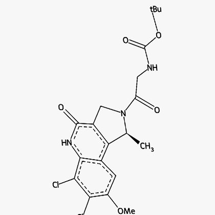 COc1cc2c3c(c(=O)[nH]c2c(Cl)c1Cl)CN(C(=O)CNC(=O)OC(C)(C)C)[C@H]3C